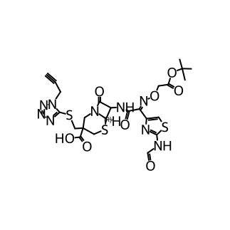 C#CCn1nnnc1SCC1(C(=O)O)CS[C@@H]2C(NC(=O)C(=NOCC(=O)OC(C)(C)C)c3csc(NC=O)n3)C(=O)N2C1